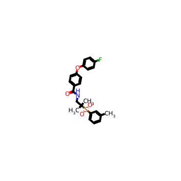 Cc1cccc(S(=O)(=O)C(C)(C)CNC(=O)c2ccc(Oc3ccc(F)cc3)cc2)c1